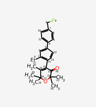 CCc1cc(-c2ccc(CF)cc2)ccc1C1=C(C)C(C)(C)OC(C)(C)C1=O